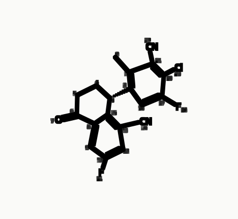 Cc1c([C@H]2CCC(=O)c3cc(F)cc(C#N)c32)cc(F)c(Cl)c1C#N